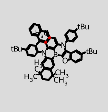 Cc1cc2c3c(c1)N(c1ccc(C(C)(C)C)cc1)c1c(oc4ccc(C(C)(C)C)cc14)B3c1cc3c(cc1N2c1ccc(C(C)(C)C)cc1-c1cccc2ccccc12)C(C)(C)CCC3(C)C